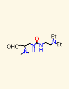 CCN(CC)CCNC(=O)NCC(CC=O)N(C)C